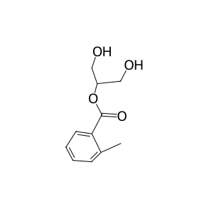 Cc1ccccc1C(=O)OC(CO)CO